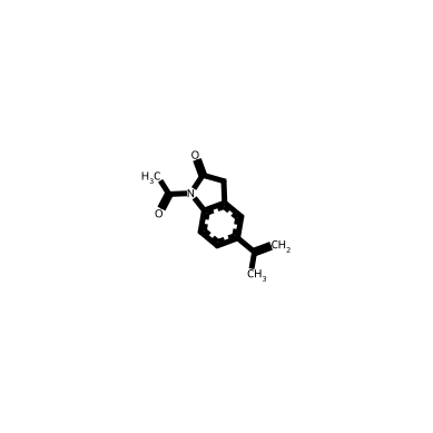 C=C(C)c1ccc2c(c1)CC(=O)N2C(C)=O